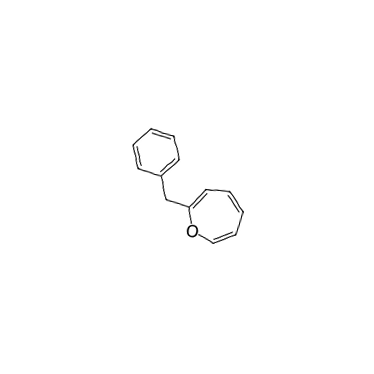 C1=CC=C(Cc2ccccc2)OC=C1